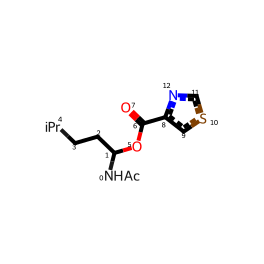 CC(=O)NC(CCC(C)C)OC(=O)c1cscn1